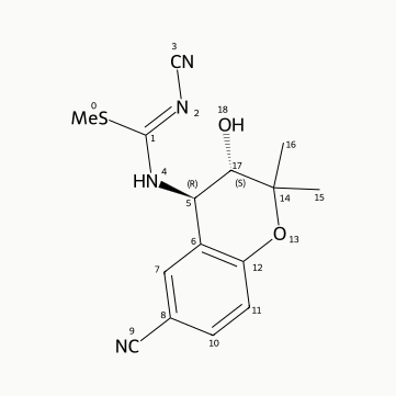 CSC(=NC#N)N[C@@H]1c2cc(C#N)ccc2OC(C)(C)[C@H]1O